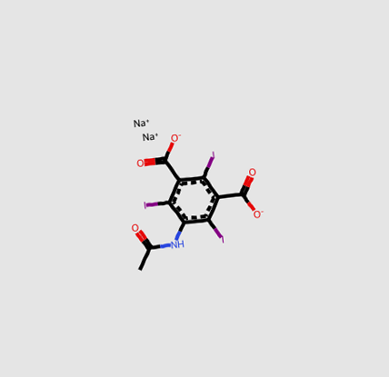 CC(=O)Nc1c(I)c(C(=O)[O-])c(I)c(C(=O)[O-])c1I.[Na+].[Na+]